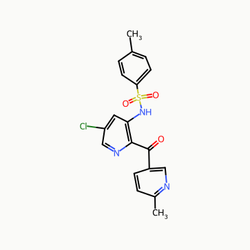 Cc1ccc(S(=O)(=O)Nc2cc(Cl)cnc2C(=O)c2ccc(C)nc2)cc1